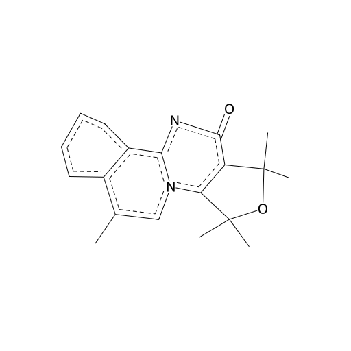 Cc1cn2c3c(c(=O)nc2c2ccccc12)C(C)(C)OC3(C)C